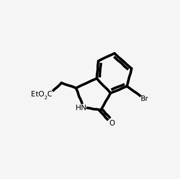 CCOC(=O)CC1NC(=O)c2c(Br)cccc21